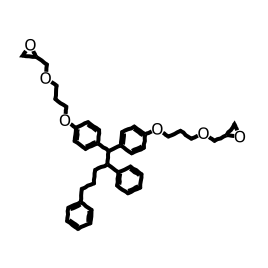 c1ccc(CCCC(c2ccccc2)C(c2ccc(OCCCOCC3CO3)cc2)c2ccc(OCCCOCC3CO3)cc2)cc1